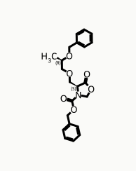 C[C@H](COC[C@H]1C(=O)OCN1C(=O)OCc1ccccc1)OCc1ccccc1